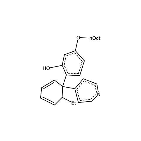 CCCCCCCCOc1ccc(C2(c3ccncc3)C=CC=CC2CC)c(O)c1